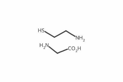 NCC(=O)O.NCCS